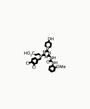 COc1ccccc1NC(=O)Nc1nc(N2CCC(O)CC2)nc(N(CCC(=O)O)Cc2ccc(Cl)c(Cl)c2)n1